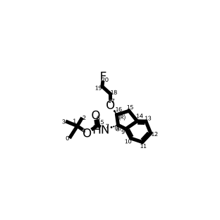 CC(C)(C)OC(=O)N[C@H]1c2ccccc2C[C@H]1OCCF